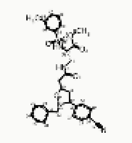 COC(=O)[C@H](CNC(=O)CC1CC(c2ccc(C#N)cc2)N(Cc2ccccc2)O1)NS(=O)(=O)c1cccc(C)c1